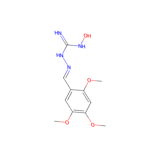 COc1cc(OC)c(OC)cc1C=NNC(=N)NO